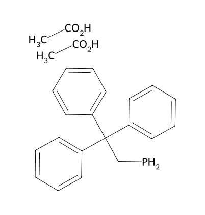 CC(=O)O.CC(=O)O.PCC(c1ccccc1)(c1ccccc1)c1ccccc1